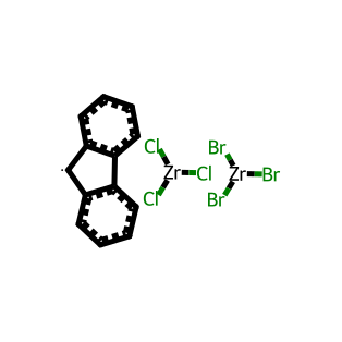 [Br][Zr]([Br])[Br].[CH]1c2ccccc2-c2ccccc21.[Cl][Zr]([Cl])[Cl]